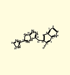 Fc1cc2ncccc2cc1Cc1nnc2sc(C3=NCC=N3)nn12